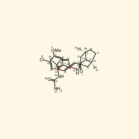 COc1cc(C=CC(=O)N2[C@@H]3CC[C@H]2CC(Nc2ccc(F)cc2)C3)c(NC(N)=O)cc1Cl